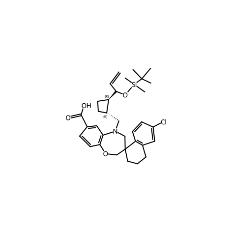 C=CC(O[Si](C)(C)C(C)(C)C)[C@@H]1CC[C@H]1CN1CC2(CCCc3cc(Cl)ccc32)COc2ccc(C(=O)O)cc21